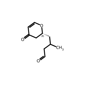 CC(CC=O)C[C@@H]1CC(=O)C=CO1